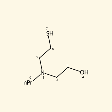 CCCN(CCO)CCS